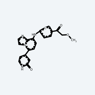 COCC(=O)c1ccc(Nc2ccc(-c3cc[nH]c(=O)c3)n3ccnc23)cc1